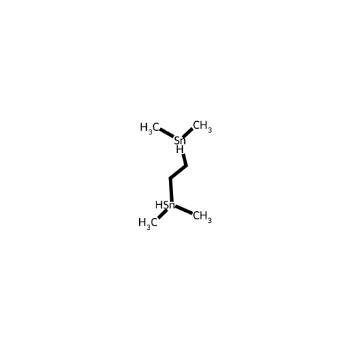 [CH3][SnH]([CH3])[CH2][CH2][SnH]([CH3])[CH3]